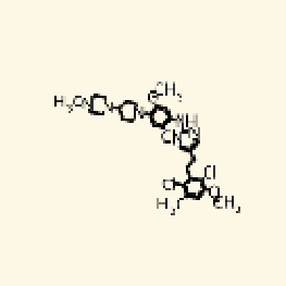 COc1cc(Nc2ncc(CCc3c(Cl)c(C)cc(OC)c3Cl)cn2)c(Cl)cc1N1CCC(N2CCN(C)CC2)CC1